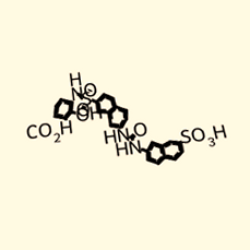 O=C(Nc1ccc2ccc(S(=O)(=O)O)cc2c1)Nc1ccc2ccc(S(=O)(=O)Nc3cccc(C(=O)O)c3O)cc2c1